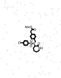 COC(=O)Cc1ccc(CN(C2CCCCNC2=O)S(=O)(=O)c2ccc(Cl)cc2)cc1